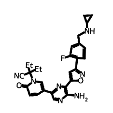 CCC(C#N)(CC)n1cc(-c2cnc(N)c(-c3cc(-c4ccc(CNC5CC5)cc4F)no3)n2)ccc1=O